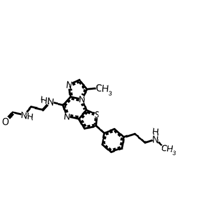 CNCCc1cccc(-c2cc3nc(NCCNC=O)c4ncc(C)n4c3s2)c1